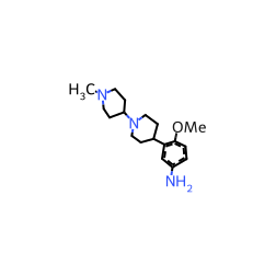 COc1ccc(N)cc1C1CCN(C2CCN(C)CC2)CC1